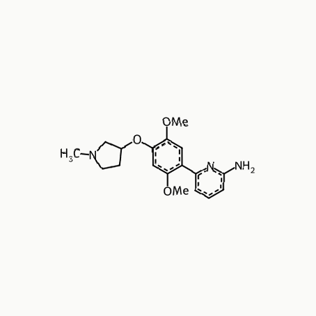 COc1cc(-c2cccc(N)n2)c(OC)cc1OC1CCN(C)C1